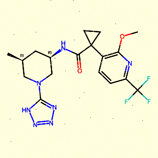 COc1nc(C(F)(F)F)ccc1C1(C(=O)N[C@@H]2C[C@H](C)CN(c3nnn[nH]3)C2)CC1